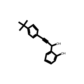 CC(C)(C)c1ccc(C#CC(O)c2ccccc2O)cc1